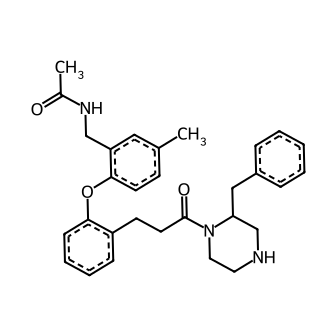 CC(=O)NCc1cc(C)ccc1Oc1ccccc1CCC(=O)N1CCNCC1Cc1ccccc1